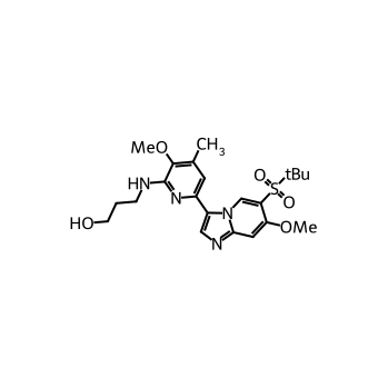 COc1cc2ncc(-c3cc(C)c(OC)c(NCCCO)n3)n2cc1S(=O)(=O)C(C)(C)C